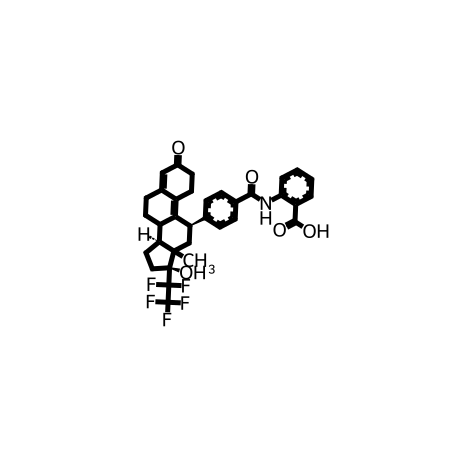 CC12C[C@H](c3ccc(C(=O)Nc4ccccc4C(=O)O)cc3)C3=C4CCC(=O)C=C4CCC3[C@@H]1CC[C@@]2(O)C(F)(F)C(F)(F)F